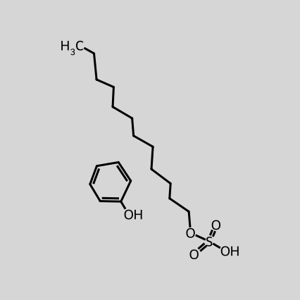 CCCCCCCCCCCCOS(=O)(=O)O.Oc1ccccc1